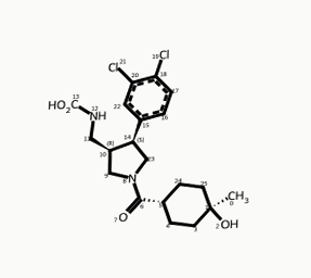 C[C@]1(O)CC[C@H](C(=O)N2C[C@@H](CNC(=O)O)[C@@H](c3ccc(Cl)c(Cl)c3)C2)CC1